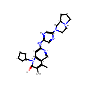 CC(=O)c1c(C)c2cnc(Nc3cnc(N4CCN5CCCC5C4)cn3)cc2n(C2CCCC2)c1=O